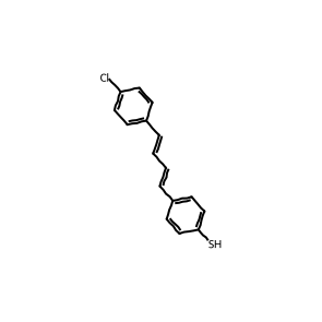 Sc1ccc(/C=C/C=C/c2ccc(Cl)cc2)cc1